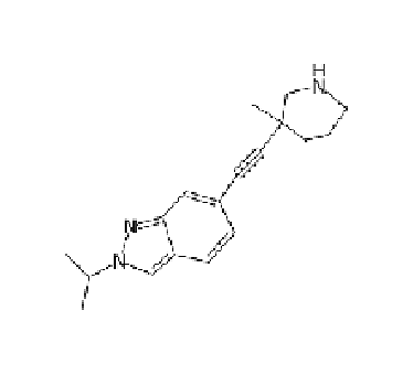 CC(C)n1cc2ccc(C#CC3(C)CCCNC3)cc2n1